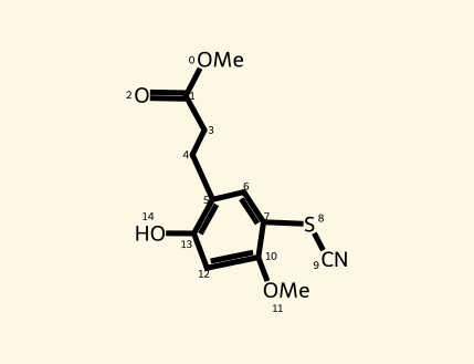 COC(=O)CCc1cc(SC#N)c(OC)cc1O